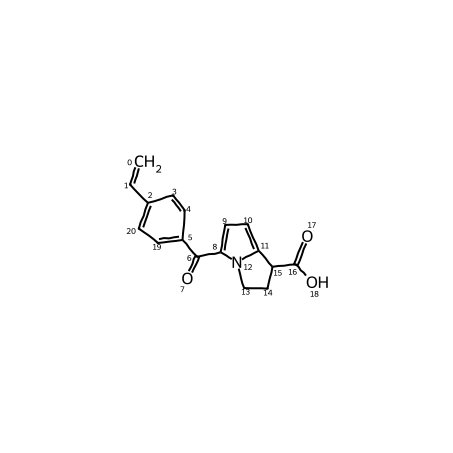 C=Cc1ccc(C(=O)c2ccc3n2CCC3C(=O)O)cc1